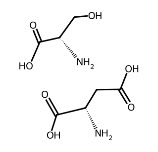 N[C@@H](CC(=O)O)C(=O)O.N[C@@H](CO)C(=O)O